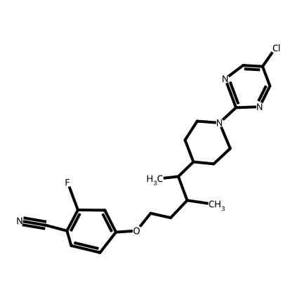 CC(CCOc1ccc(C#N)c(F)c1)C(C)C1CCN(c2ncc(Cl)cn2)CC1